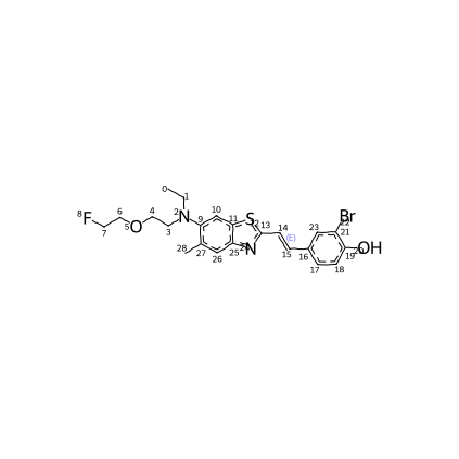 CCN(CCOCCF)c1cc2sc(/C=C/c3ccc(O)c(Br)c3)nc2cc1C